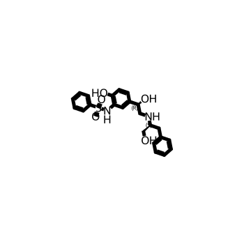 O=S(=O)(Nc1cc([C@@H](O)CN[C@H](CO)Cc2ccccc2)ccc1O)c1ccccc1